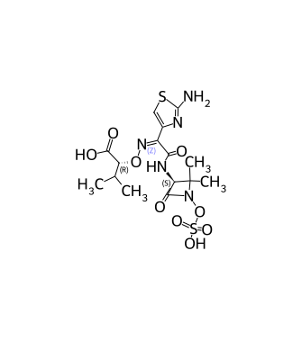 CC(C)[C@@H](O/N=C(\C(=O)N[C@@H]1C(=O)N(OS(=O)(=O)O)C1(C)C)c1csc(N)n1)C(=O)O